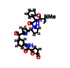 CN[C@@H](C)C(=O)N[C@H](C(=O)N1CCC[C@H]1c1nc(C(=O)c2cccc(NC(=O)C3CCC(=O)O3)c2)cs1)C1CCCCC1